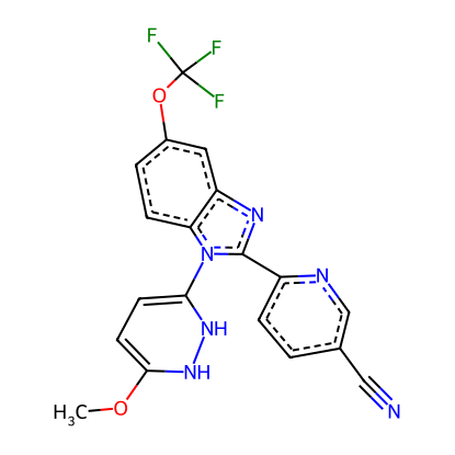 COC1=CC=C(n2c(-c3ccc(C#N)cn3)nc3cc(OC(F)(F)F)ccc32)NN1